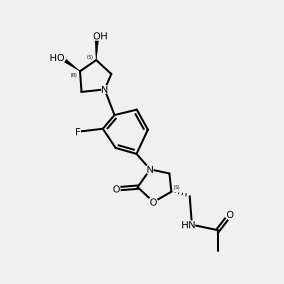 CC(=O)NC[C@H]1CN(c2ccc(N3C[C@@H](O)[C@@H](O)C3)c(F)c2)C(=O)O1